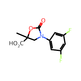 CC1(C(=O)O)CN(c2cc(F)cc(F)c2)C(=O)O1